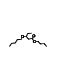 CCCCCOC(CC)CC(=O)OCCCC